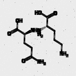 NC(=O)CC[C@H](N)C(=O)O.NCCC[C@H](N)C(=O)O